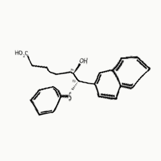 O=C(O)CCC[C@@H](O)[C@@H](Sc1ccccc1)c1ccc2ccccc2c1